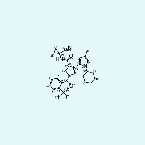 Cc1cc(N2C[C@H]([S+]([O-])c3ccccc3C(F)(F)F)C[C@H]2C(=O)NC2(C#N)CC2)n(C2CCCCC2)n1